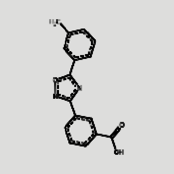 Cc1cccc(-c2nc(-c3cccc(C(=O)O)c3)no2)c1